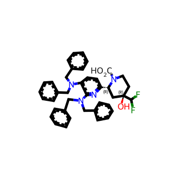 O=C(O)N1CC[C@](O)(C(F)F)C[C@@H]1c1ccc(N(Cc2ccccc2)Cc2ccccc2)c(N(Cc2ccccc2)Cc2ccccc2)n1